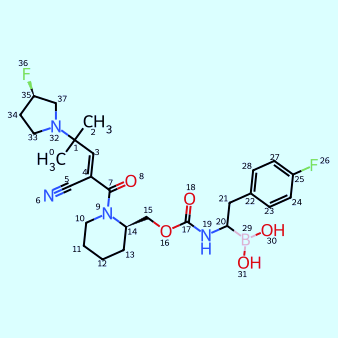 CC(C)(C=C(C#N)C(=O)N1CCCC[C@@H]1COC(=O)NC(Cc1ccc(F)cc1)B(O)O)N1CC[C@@H](F)C1